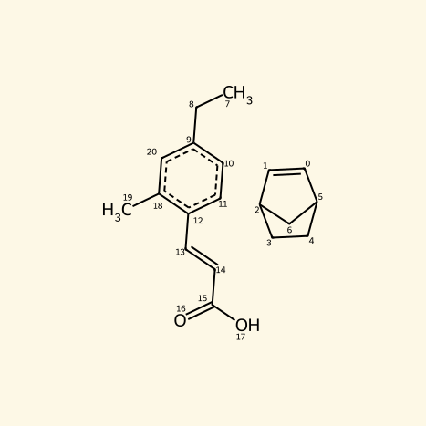 C1=CC2CCC1C2.CCc1ccc(C=CC(=O)O)c(C)c1